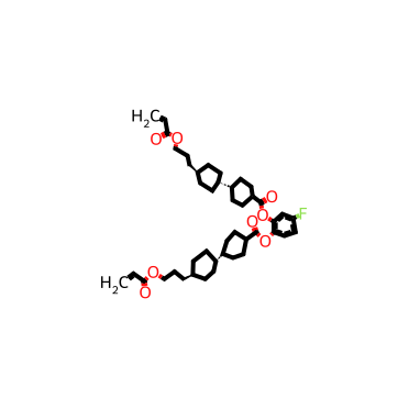 C=CC(=O)OCCC[C@H]1CC[C@H](C2CCC(C(=O)Oc3ccc(F)cc3OC(=O)C3CCC([C@H]4CC[C@H](CCCOC(=O)C=C)CC4)CC3)CC2)CC1